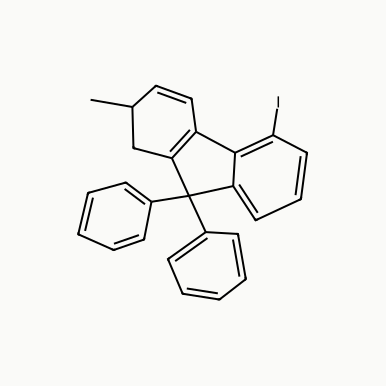 CC1C=CC2=C(C1)C(c1ccccc1)(c1ccccc1)c1cccc(I)c12